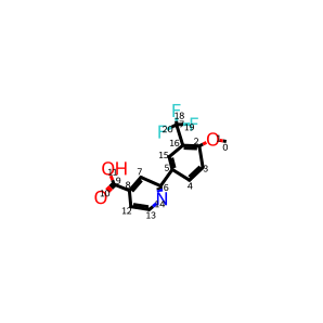 COc1ccc(-c2cc(C(=O)O)ccn2)cc1C(F)(F)F